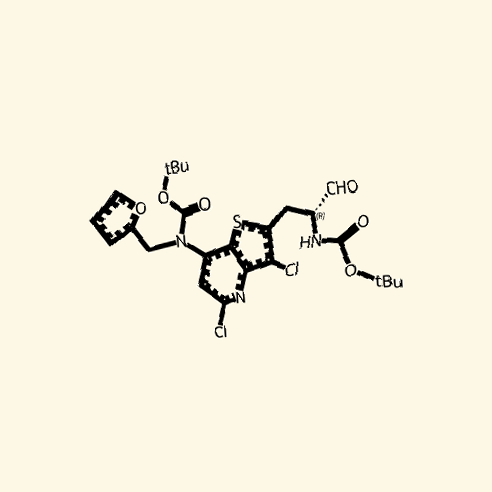 CC(C)(C)OC(=O)N[C@@H](C=O)Cc1sc2c(N(Cc3ccco3)C(=O)OC(C)(C)C)cc(Cl)nc2c1Cl